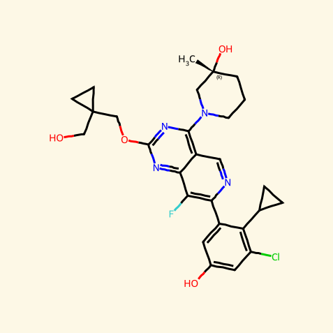 C[C@@]1(O)CCCN(c2nc(OCC3(CO)CC3)nc3c(F)c(-c4cc(O)cc(Cl)c4C4CC4)ncc23)C1